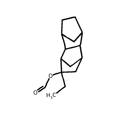 CCC1(OC=O)CC2CC1C1C3CCC(C3)C21